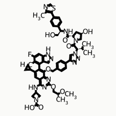 CO[C@@H](C)COc1nc(NC2CN(C(=O)O)C2)c2cc(C3CC3)c(-c3c(C)c(F)cc4[nH]ncc34)c(OCc3ccc(-c4cn([C@H](C(=O)N5C[C@H](O)C[C@H]5C(=O)N[C@@H](CO)c5ccc(-c6scnc6C)cc5)C(C)C)nn4)cc3)c2n1